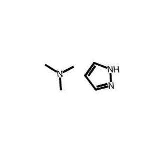 CN(C)C.c1cn[nH]c1